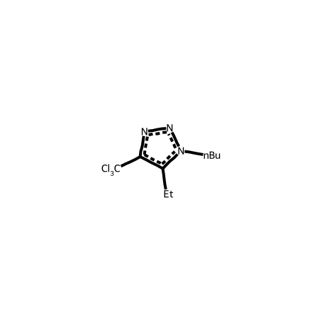 CCCCn1nnc(C(Cl)(Cl)Cl)c1CC